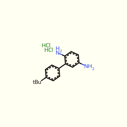 CC(C)(C)c1ccc(-c2cc(N)ccc2N)cc1.Cl.Cl